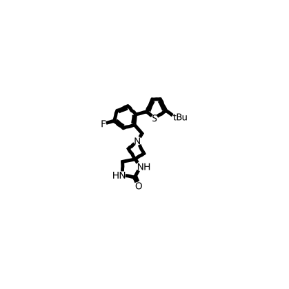 CC(C)(C)c1ccc(-c2ccc(F)cc2CN2CC3(CNC(=O)N3)C2)s1